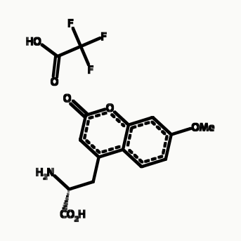 COc1ccc2c(C[C@@H](N)C(=O)O)cc(=O)oc2c1.O=C(O)C(F)(F)F